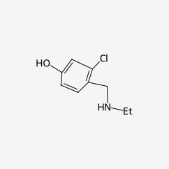 CCNCc1ccc(O)cc1Cl